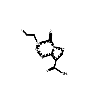 NC(=O)c1cnn2c(=O)n(CCF)nnc12